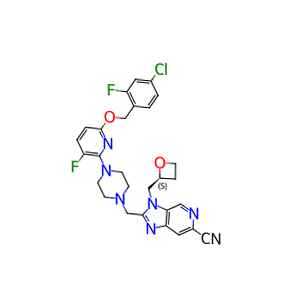 N#Cc1cc2nc(CN3CCN(c4nc(OCc5ccc(Cl)cc5F)ccc4F)CC3)n(C[C@@H]3CCO3)c2cn1